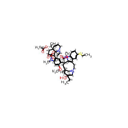 CCSc1ccc2[nH]c3c(c2c1)CCN1C[C@H](C[C@@](O)(CC)C1)C[C@]3(C(=O)OC)c1cc2c(cc1OC)N(C)[C@@]13O[C@]1(C(=O)OC)[C@H](OC(C)=O)[C@]1(CC)C=CCN4CC[C@]23[C@@H]41